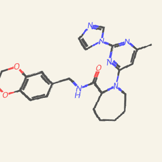 Cc1cc(N2CCCCCC2C(=O)NCc2ccc3c(c2)OCCO3)nc(-n2ccnc2)n1